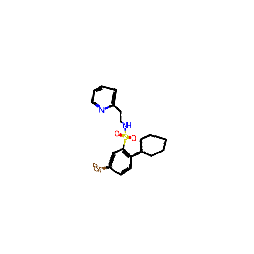 O=S(=O)(NCCc1ccccn1)c1cc(Br)ccc1C1CCCCC1